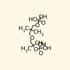 CC(C)(COCC(C)(C)OP(=O)(O)O)COP(=O)(O)O